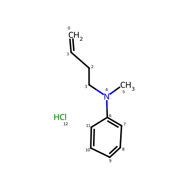 C=CCCN(C)c1ccccc1.Cl